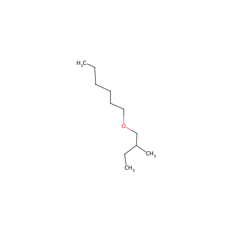 CCCCCCOCC(C)CC